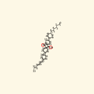 CCCCCCC[C@H]1CC[C@H](C2CCC3(CC2)C(=O)C2(CCC([C@H]4CC[C@H](CCCCCCC)CC4)CC2)C3=O)CC1